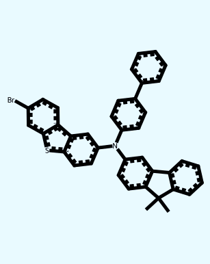 CC1(C)c2ccccc2-c2cc(N(c3ccc(-c4ccccc4)cc3)c3ccc4sc5cc(Br)ccc5c4c3)ccc21